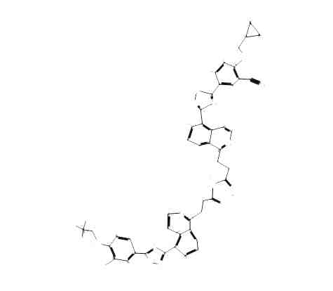 Cl.N#Cc1cc(-c2nc(-c3cccc4c(CCC(=O)OC(=O)CCc5nccc6c(-c7noc(-c8ccc(OCC(F)(F)F)c(Cl)c8)n7)cccc56)nccc34)no2)ccc1OCC1CC1